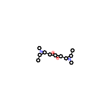 c1ccc(-c2ccc3c(c2)c2cc(-c4ccc5c(c4)oc4cc6c(cc45)oc4cc(-c5ccc7c(c5)c5cc(-c8ccccc8)ccc5n7-c5ccccc5)ccc46)ccc2n3-c2ccccc2)cc1